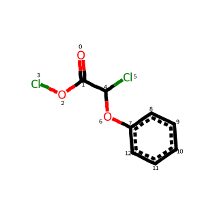 O=C(OCl)C(Cl)Oc1ccccc1